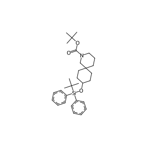 CC(C)(C)OC(=O)N1CCCC2(CCC(O[Si](c3ccccc3)(c3ccccc3)C(C)(C)C)CC2)C1